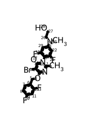 Cc1nc(OCc2ccc(F)cc2F)c(Br)c(=O)n1-c1c(F)cc(N(C)CCO)cc1F